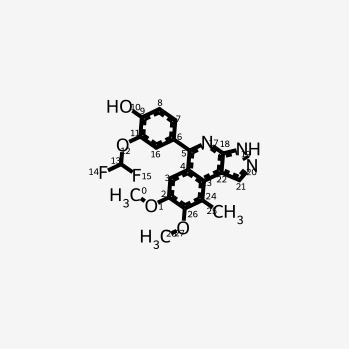 COc1cc2c(-c3ccc(O)c(OC(F)F)c3)nc3[nH]ncc3c2c(C)c1OC